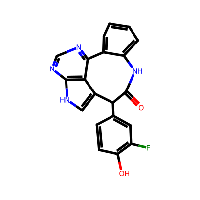 O=C1Nc2ccccc2-c2ncnc3[nH]cc(c23)C1c1ccc(O)c(F)c1